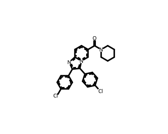 O=C(c1ccc2nc(-c3ccc(Cl)cc3)c(-c3ccc(Cl)cc3)n2c1)N1CCCCC1